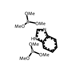 COB(OC)OC.COB(OC)OC.c1ccc2[nH]cnc2c1